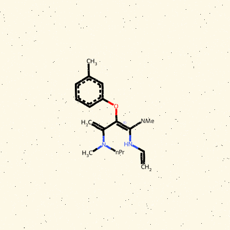 C=CN/C(NC)=C(/Oc1cccc(C)c1)C(=C)N(C)CCC